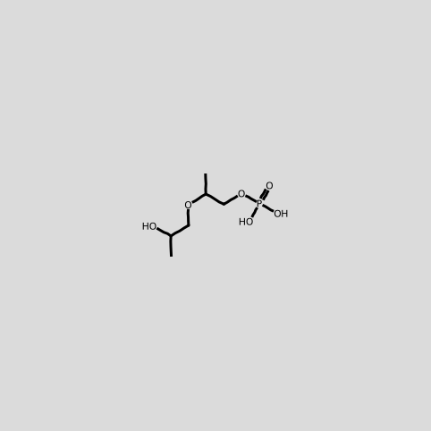 CC(O)COC(C)COP(=O)(O)O